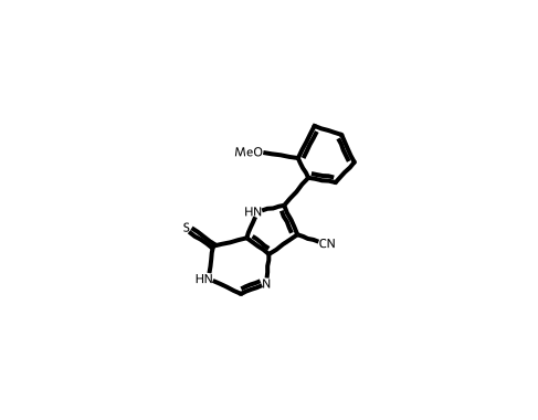 COc1ccccc1-c1[nH]c2c(=S)[nH]cnc2c1C#N